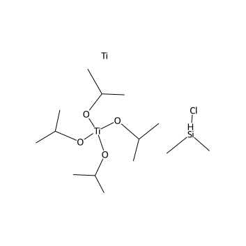 CC(C)[O][Ti]([O]C(C)C)([O]C(C)C)[O]C(C)C.C[SiH](C)Cl.[Ti]